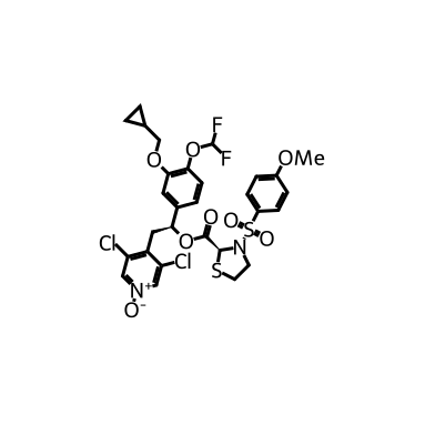 COc1ccc(S(=O)(=O)N2CCS[C@H]2C(=O)O[C@@H](Cc2c(Cl)c[n+]([O-])cc2Cl)c2ccc(OC(F)F)c(OCC3CC3)c2)cc1